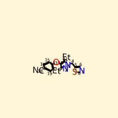 CCc1nn(Cc2cncs2)c(CC)c1Oc1ccc(C#N)cc1